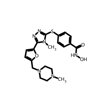 CN1CCN(Cc2ccc(-c3nnc(Sc4ccc(C(=O)NO)cc4)n3C)o2)CC1